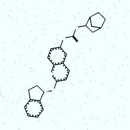 O=C(Nc1ccc2nc(N[C@@H]3CCc4ccccc43)ccc2c1)NC1CC2CCC1C2